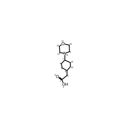 O=C(O)CC1CCC(N2CCOCC2)CC1